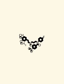 COc1ccc(CCN(C)CCCN(C(=O)c2ccc([N+](=O)[O-])cc2)c2ccc(F)cc2)cc1OC